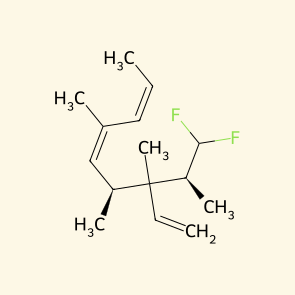 C=CC(C)([C@H](C)C(F)F)[C@@H](C)/C=C(C)\C=C/C